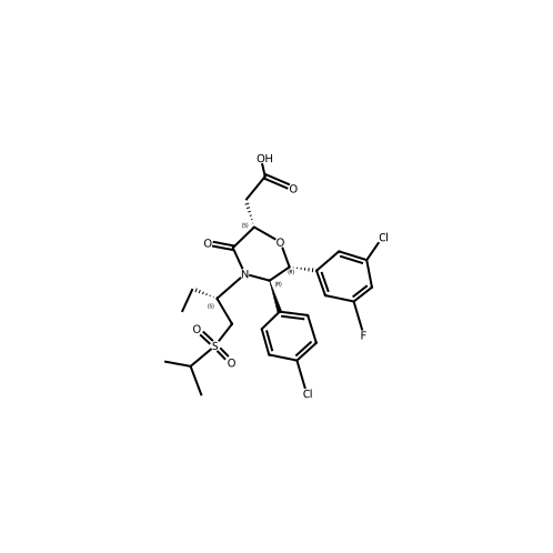 CC[C@@H](CS(=O)(=O)C(C)C)N1C(=O)[C@H](CC(=O)O)O[C@H](c2cc(F)cc(Cl)c2)[C@H]1c1ccc(Cl)cc1